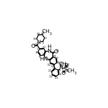 CC1CCN(C(=O)c2ccc3c(c2)NC(=O)c2ccc(-c4ccccc4N(C)S(C)(=O)=O)cc2N3)CC1